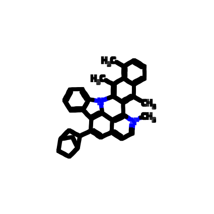 Cc1cccc2c(C)c3c(c(C)c12)n1c2ccccc2c2c(C4CC5CCC4C5)cc4cc[n+](C)c3c4c21